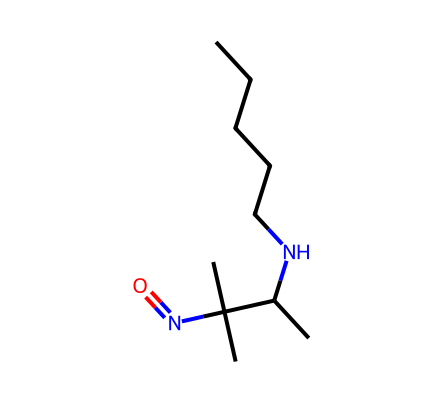 CCCCCNC(C)C(C)(C)N=O